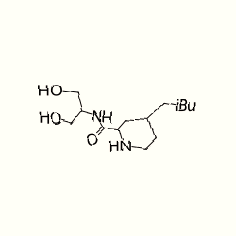 CCC(C)CC1CCNC(C(=O)NC(CO)CO)C1